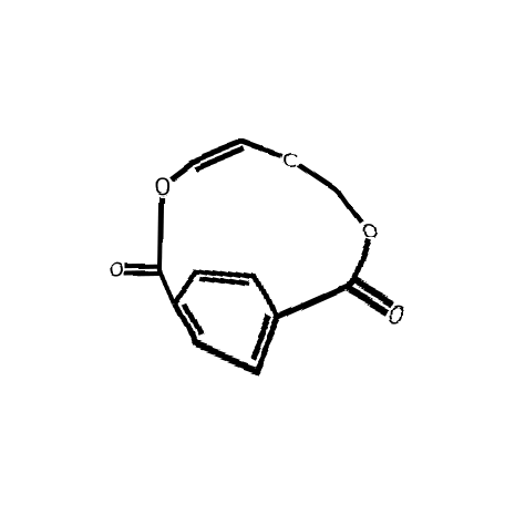 O=C1OC=CCCOC(=O)c2ccc1cc2